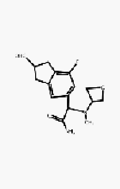 CN(C1COC1)C(C(N)=O)c1cc(F)c2c(c1)CC(C=O)C2